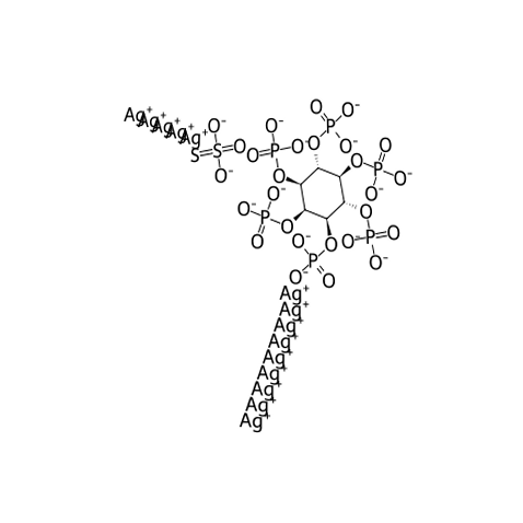 O=P([O-])([O-])O[C@H]1[C@H](OP(=O)([O-])[O-])[C@@H](OP(=O)([O-])[O-])[C@H](OP(=O)([O-])[O-])[C@@H](OP(=O)([O-])[O-])[C@H]1OP(=O)([O-])[O-].O=S([O-])([O-])=S.[Ag+].[Ag+].[Ag+].[Ag+].[Ag+].[Ag+].[Ag+].[Ag+].[Ag+].[Ag+].[Ag+].[Ag+].[Ag+].[Ag+]